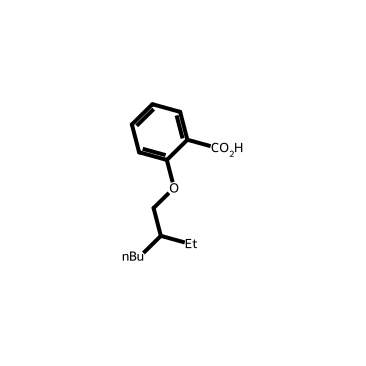 CCCCC(CC)COc1ccccc1C(=O)O